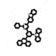 c1ccc(-c2nc(-c3cc(-c4cc5ccccc5c5ccccc45)cc(-n4c5ccccc5c5ccccc54)c3)cc(-c3ccc4c(c3)oc3ccccc34)n2)cc1